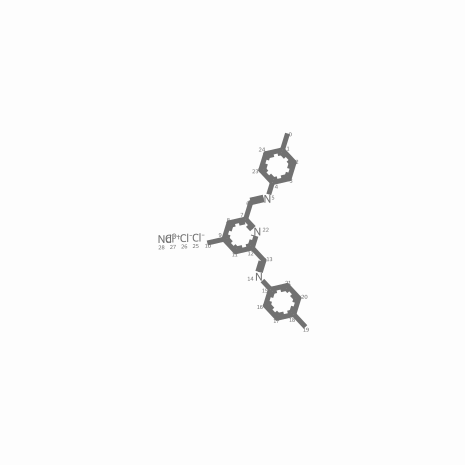 Cc1ccc(N=Cc2cc(C)cc(C=Nc3ccc(C)cc3)n2)cc1.[Cl-].[Cl-].[Cl-].[Nd+3]